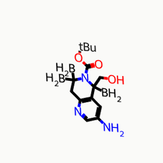 BC1(B)Cc2ncc(N)cc2C(B)(CO)N1C(=O)OC(C)(C)C